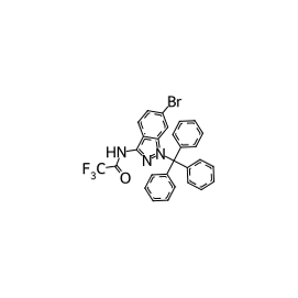 O=C(Nc1nn(C(c2ccccc2)(c2ccccc2)c2ccccc2)c2cc(Br)ccc12)C(F)(F)F